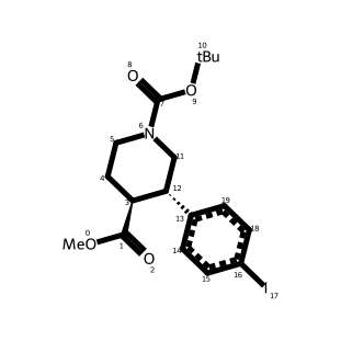 COC(=O)[C@H]1CCN(C(=O)OC(C)(C)C)C[C@@H]1c1ccc(I)cc1